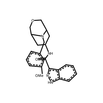 COc1cccc(CN2C3COCC2CC(NC(=O)c2n[nH]c4ccccc24)C3)c1